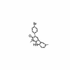 Cc1ccc2[nH]c3c(cc(-c4ccc(Br)cc4)c(=O)n3C)c2c1